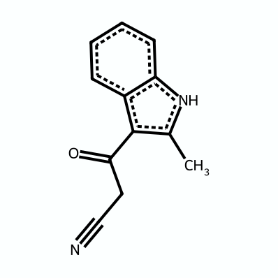 Cc1[nH]c2ccccc2c1C(=O)CC#N